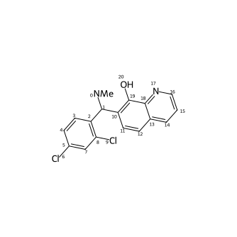 CNC(c1ccc(Cl)cc1Cl)c1ccc2cccnc2c1O